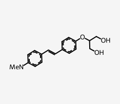 CNc1ccc(/C=C/c2ccc(OC(CO)CO)cc2)cc1